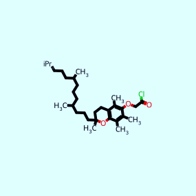 Cc1c(C)c2c(c(C)c1OCC(=O)Cl)CCC(C)(CCCC(C)CCCC(C)CCCC(C)C)O2